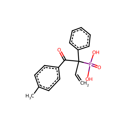 C=CC(C(=O)c1ccc(C)cc1)(c1ccccc1)P(=O)(O)O